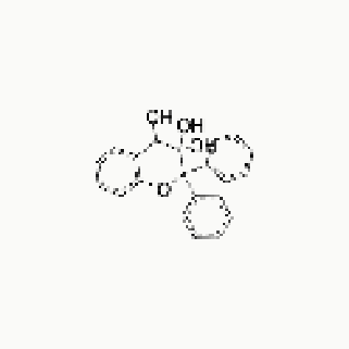 OC1c2ccccc2OC(c2ccccc2)(c2ccccc2)C1(O)O